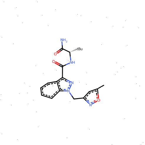 Cc1cc(Cn2nc(C(=O)N[C@H](C(N)=O)C(C)(C)C)c3ccccc32)no1